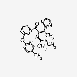 C=C/C(C)=N\C(C(=O)N1CC2CCC1C(Oc1ncc(C(F)(F)F)cn1)C2)=C(/C)n1nccn1